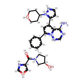 Nc1ncnn2c(-c3cccc([C@@H]4C[C@@H](O)CN4C(=O)c4cocn4)c3)cc(-c3ccnn3C3CCOCC3)c12